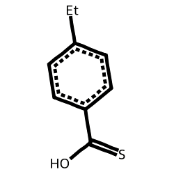 CCc1ccc(C(O)=S)cc1